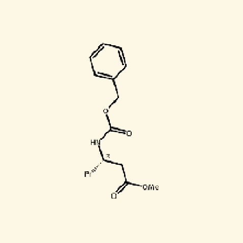 COC(=O)C[C@@H](NC(=O)OCc1ccccc1)C(C)C